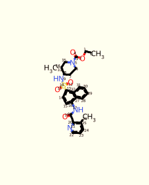 CCOC(=O)N1CC[C@H](NS(=O)(=O)c2ccc(NC(=O)c3ncccc3C)c3ccccc23)[C@H](C)C1